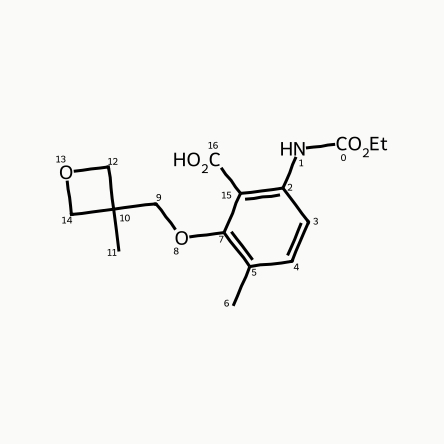 CCOC(=O)Nc1ccc(C)c(OCC2(C)COC2)c1C(=O)O